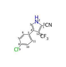 N#Cc1[nH]cc(-c2ccc(Cl)cc2)c1C(F)(F)F